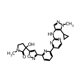 CN1CCC(O)(c2cc(-c3cccc(-c4ccnc(Nc5cnn(C)c5C5CC5)n4)n3)no2)C1=O